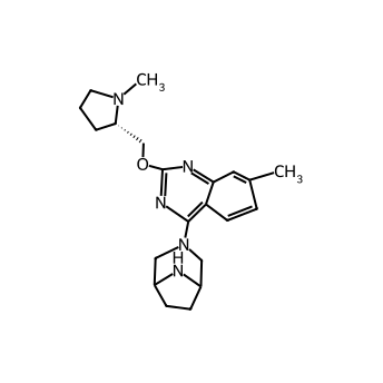 Cc1ccc2c(N3CC4CCC(C3)N4)nc(OC[C@@H]3CCCN3C)nc2c1